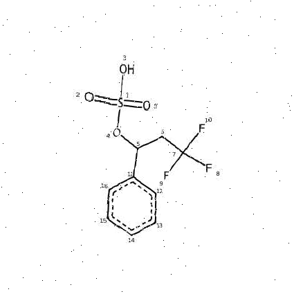 O=S(=O)(O)OC(CC(F)(F)F)c1ccccc1